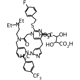 CCN(CC)CCN(Cc1ccc(-c2ccc(C(F)(F)F)cc2)nc1)C(=O)Cn1cc(Cc2cnn(C)c2)c(=O)nc1SCc1ccc(F)cc1.O=C(O)C(O)C(O)C(=O)O